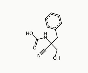 N#CC(CO)(Cc1ccccc1)NC(=O)O